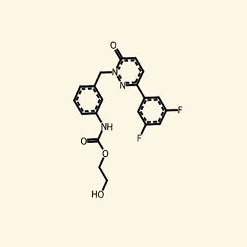 O=C(Nc1cccc(Cn2nc(-c3cc(F)cc(F)c3)ccc2=O)c1)OCCO